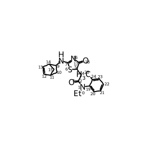 CCN(C(=O)CC1SC(NC2CC3C=CC2C3)=NC1=O)c1ccccc1C